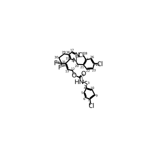 O=C(NSc1ccc(Cl)cc1)OC/C=C1\c2c(cnn2Cc2ccc(Cl)cc2Cl)CCC1(F)F